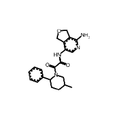 CC1CCC(c2ccccc2)N(C(=O)C(=O)Nc2cnc(N)c3c2COC3)C1